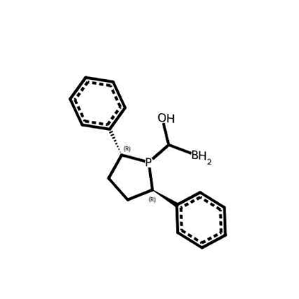 BC(O)P1[C@@H](c2ccccc2)CC[C@@H]1c1ccccc1